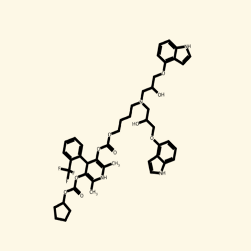 CC1=C(OC(=O)OCCCCN(CC(O)COc2cccc3[nH]ccc23)CC(O)COc2cccc3[nH]ccc23)C(c2ccccc2C(F)(F)F)C(OC(=O)OC2CCCC2)=C(C)N1